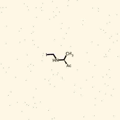 CC(=O)[C@H](C)NCI